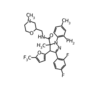 Cc1ccc(N2N=C(c3ccc(F)cc3F)C(c3ccc(C(F)(F)F)o3)C2(C)C(=O)NCC2CN(C)CCO2)c(P)c1